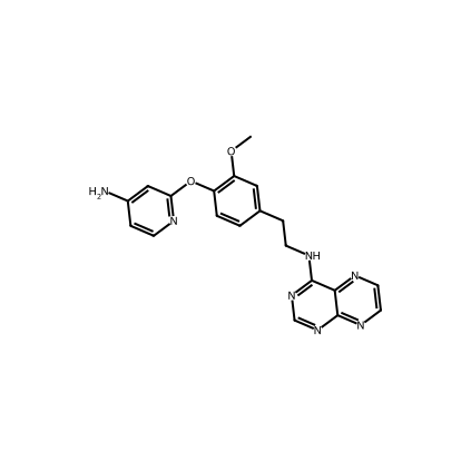 COc1cc(CCNc2ncnc3nccnc23)ccc1Oc1cc(N)ccn1